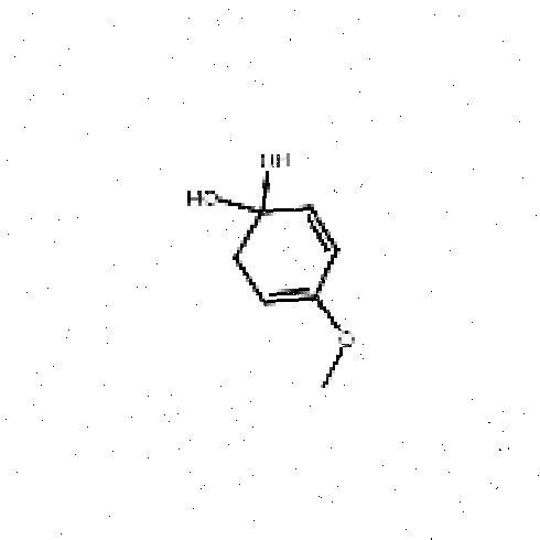 COC1=CCC(O)(O)C=C1